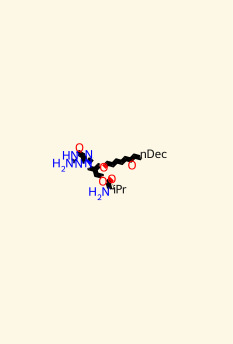 CCCCCCCCCCCCC(=O)CCCCCOCC(CCOC(=O)[C@@H](N)C(C)C)Cn1cnc2c(=O)[nH]c(N)nc21